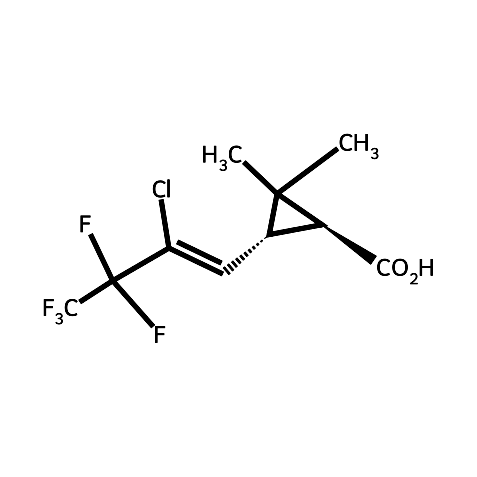 CC1(C)[C@@H](C=C(Cl)C(F)(F)C(F)(F)F)[C@@H]1C(=O)O